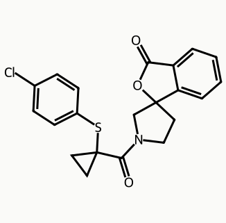 O=C1OC2(CCN(C(=O)C3(Sc4ccc(Cl)cc4)CC3)C2)c2ccccc21